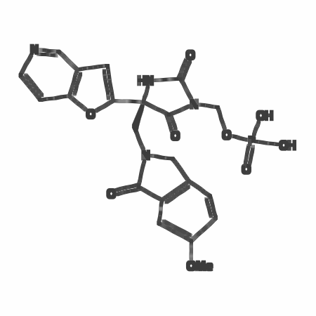 COc1ccc2c(c1)C(=O)N(C[C@@]1(c3cc4cnccc4o3)NC(=O)N(COP(=O)(O)O)C1=O)C2